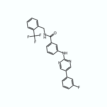 O=C(NCc1ccccc1C(F)(F)F)c1cccc(Nc2ncc(-c3cccc(F)c3)cn2)c1